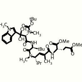 COC(=O)CC[C@H](NC(=O)/C(C)=C/[C@H](C(C)C)N(C)C(=O)[C@@H](NC(=O)[C@@H](N(C)C(=O)OC(C)(C)C)C(C)(C)c1cn(C)c2ccccc12)C(C)(C)C)C(=O)OC